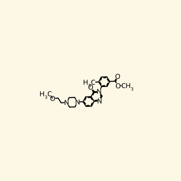 COCCN1CCN(c2ccc3ncn(-c4cc(C(=O)OC)ccc4C)c(=O)c3c2)CC1